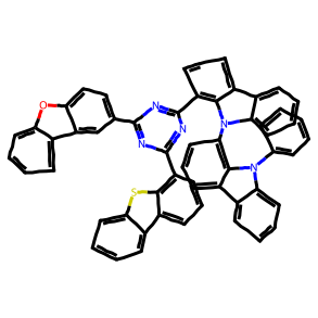 c1ccc(-n2c3ccccc3c3cccc(-n4c5ccccc5c5cccc(-c6nc(-c7ccc8oc9ccccc9c8c7)nc(-c7cccc8c7sc7ccccc78)n6)c54)c32)cc1